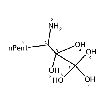 CCCCCC(N)C(O)(O)C(O)(O)O